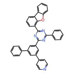 c1ccc(-c2cc(-c3ccncc3)cc(-c3nc(-c4ccccc4)nc(-c4cccc5c4oc4ccccc45)n3)c2)cc1